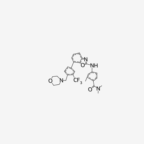 Cc1cc(Nc2nc3cccc(-c4ccc(CN5CCOCC5)c(C(F)(F)F)c4)c3o2)ccc1C(=O)N(C)C